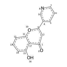 O=c1cc(-c2cccnc2)oc2cccc(O)c12